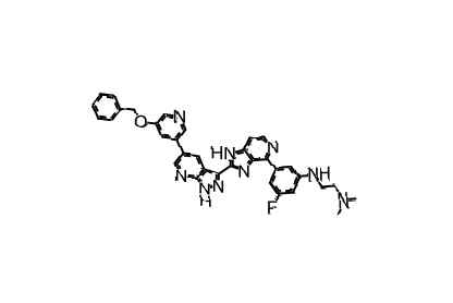 CN(C)CCNc1cc(F)cc(-c2nccc3[nH]c(-c4n[nH]c5ncc(-c6cncc(OCc7ccccc7)c6)cc45)nc23)c1